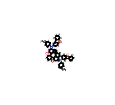 CC(C)c1ccc(N(c2ccc3oc4ccccc4c3c2)c2cc3oc4ccc5oc6cc(N(c7ccc(C(C)C)cc7)c7ccc8oc9ccccc9c8c7)c7ccccc7c6c5c4c3c3ccccc23)cc1